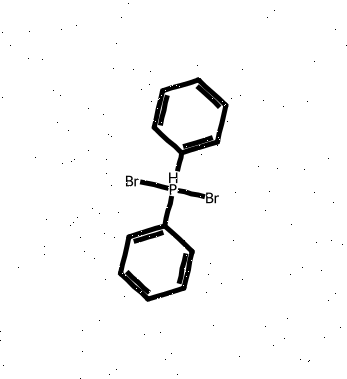 Br[PH](Br)(c1ccccc1)c1ccccc1